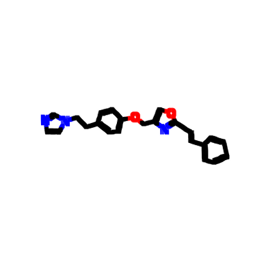 C(=Cc1nc(COc2ccc(CCn3ccnc3)cc2)co1)c1ccccc1